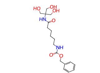 O=C(CCCCCNC(=O)OCc1ccccc1)NC(CO)(CO)CO